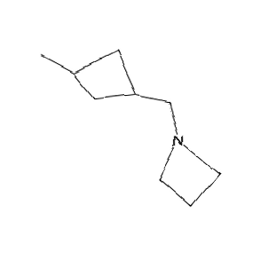 CC1CC(CN2CCC2)C1